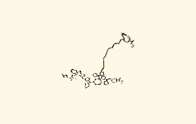 C=CC(=O)OC1(C(=O)OCCCCCCCCCC)CCCC(C(=O)OCCC(C)C)C1